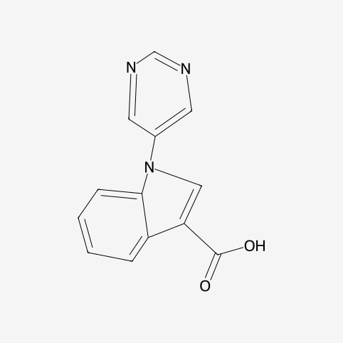 O=C(O)c1cn(-c2cncnc2)c2ccccc12